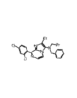 CCc1nc2c(-c3ccc(Cl)cc3Cl)nccn2c1N(Cc1ccccc1)CC(C)C